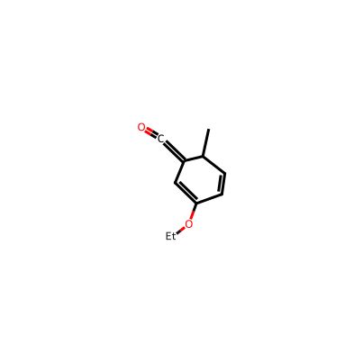 CCOC1=CC(=C=O)C(C)C=C1